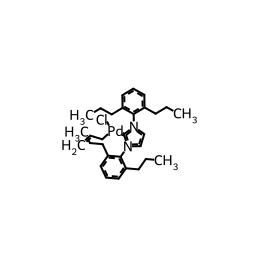 C=C[CH2][Pd]([Cl])=[c]1n(-c2c(CCC)cccc2CCC)ccn1-c1c(CCC)cccc1CCC